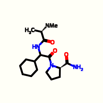 CN[C@@H](C)C(=O)NC(C(=O)N1CCC[C@H]1C(N)=O)C1CCCCC1